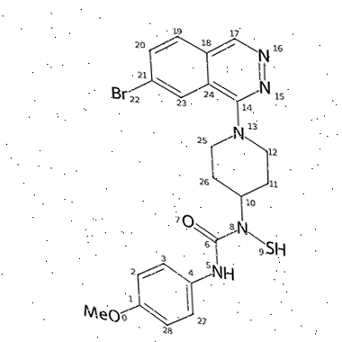 COc1ccc(NC(=O)N(S)C2CCN(c3nncc4ccc(Br)cc34)CC2)cc1